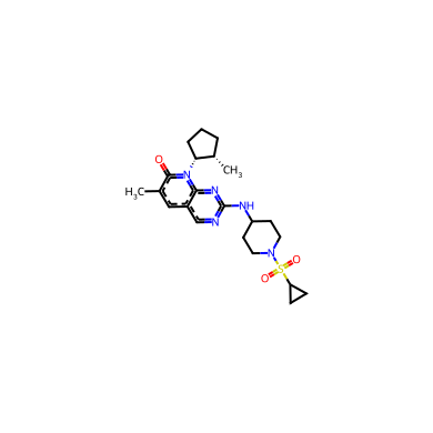 Cc1cc2cnc(NC3CCN(S(=O)(=O)C4CC4)CC3)nc2n([C@@H]2CCC[C@@H]2C)c1=O